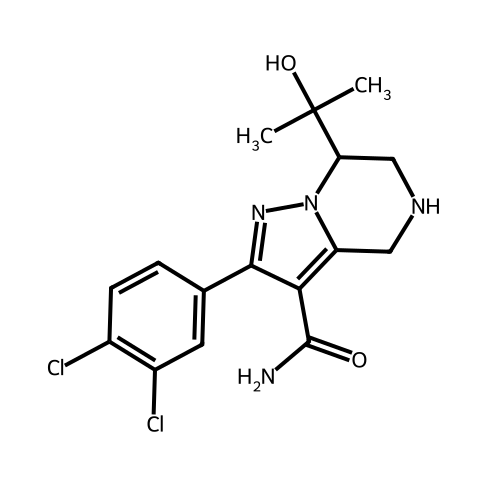 CC(C)(O)C1CNCc2c(C(N)=O)c(-c3ccc(Cl)c(Cl)c3)nn21